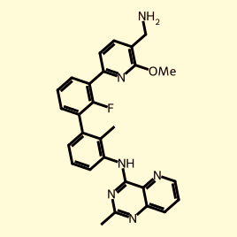 COc1nc(-c2cccc(-c3cccc(Nc4nc(C)nc5cccnc45)c3C)c2F)ccc1CN